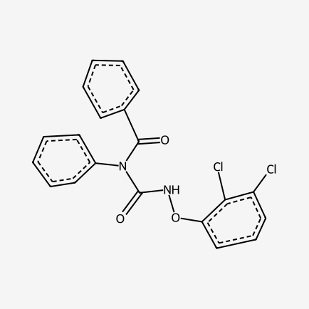 O=C(NOc1cccc(Cl)c1Cl)N(C(=O)c1ccccc1)c1ccccc1